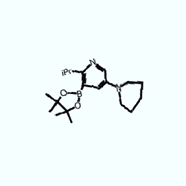 CC(C)c1ncc(N2CCCCC2)cc1B1OC(C)(C)C(C)(C)O1